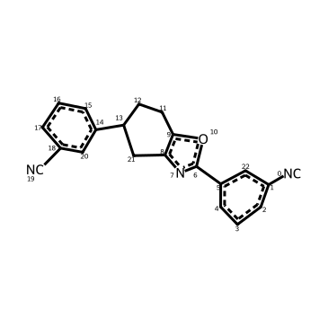 [C-]#[N+]c1cccc(-c2nc3c(o2)CCC(c2cccc(C#N)c2)C3)c1